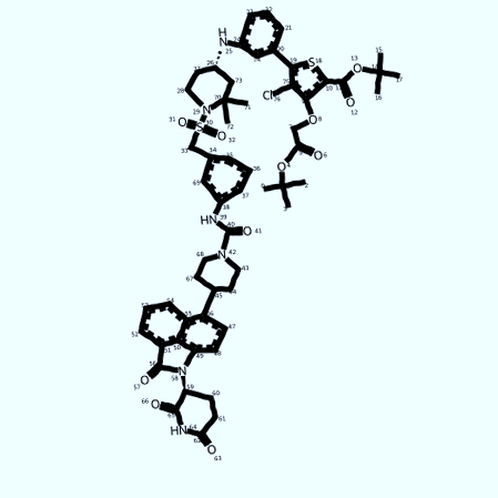 CC(C)(C)OC(=O)COc1c(C(=O)OC(C)(C)C)sc(-c2cccc(N[C@H]3CCN(S(=O)(=O)Cc4cccc(NC(=O)N5CCC(c6ccc7c8c(cccc68)C(=O)N7[C@H]6CCC(=O)NC6=O)CC5)c4)C(C)(C)C3)c2)c1Cl